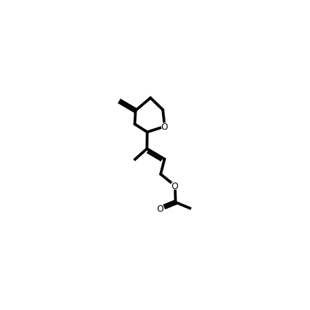 C=C1CCOC(C(C)=CCOC(C)=O)C1